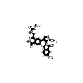 Cn1ncc(-c2ccc3c(=O)[nH]nc(CNC(=O)OC(C)(C)C)c3c2)c1N1Cc2ccc(C#N)cc2C1=O